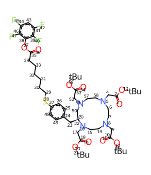 CC(C)(C)OC(=O)CN1CCN(CC(=O)OC(C)(C)C)CCN(CC(=O)OC(C)(C)C)[C@@H](Cc2ccc(SCCCCCCC(=O)Oc3c(F)c(F)cc(F)c3F)cc2)CN(CC(=O)OC(C)(C)C)CC1